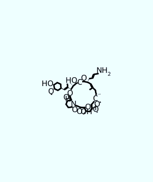 CO[C@H]1C[C@@H](C)C/C(C)=C/[C@@H](CC=CCN)C(=O)C[C@H](O)[C@@H](C)[C@@H](/C(C)=C/[C@@H]2CC[C@@H](O)[C@H](OC)C2)OC(=O)[C@@H]2CCCCN2C(=O)C(=O)[C@]2(O)O[C@H]1[C@@H](OC)C[C@H]2C